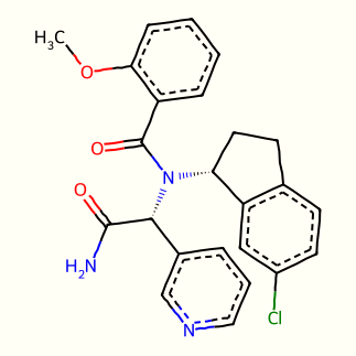 COc1ccccc1C(=O)N([C@@H]1CCc2ccc(Cl)cc21)[C@@H](C(N)=O)c1cccnc1